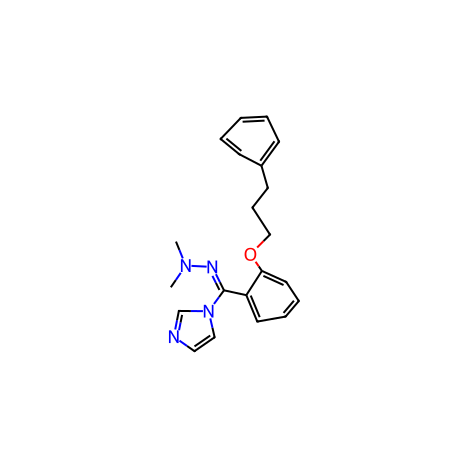 CN(C)/N=C(/c1ccccc1OCCCc1ccccc1)n1ccnc1